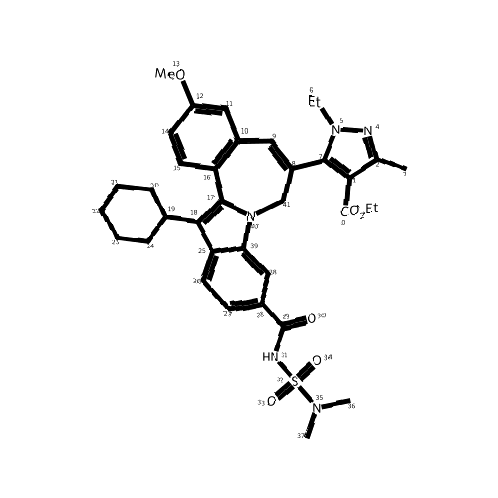 CCOC(=O)c1c(C)nn(CC)c1C1=Cc2cc(OC)ccc2-c2c(C3CCCCC3)c3ccc(C(=O)NS(=O)(=O)N(C)C)cc3n2C1